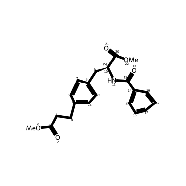 COC(=O)CCc1ccc(C[C@H](NC(=O)c2ccccc2)C(=O)OC)cc1